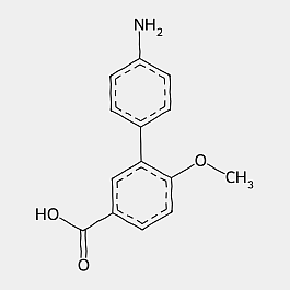 COc1ccc(C(=O)O)cc1-c1ccc(N)cc1